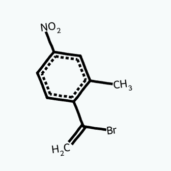 C=C(Br)c1ccc([N+](=O)[O-])cc1C